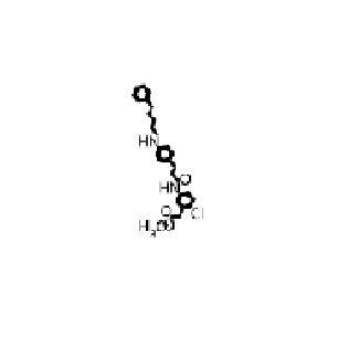 COC(=O)Cc1cc(NC(=O)CCc2ccc(NCCCCCc3ccccc3)cc2)ccc1Cl